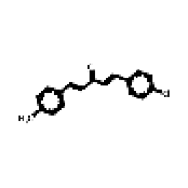 Cc1ccc(C=CC(=O)C=Cc2ccc(Cl)cc2)cc1